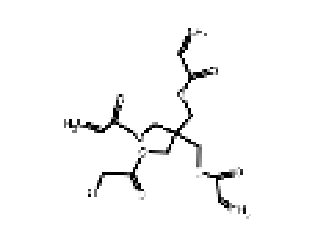 C=CC(=O)OCC(COC(=O)C=C)(COC(=O)C=C)COC(=O)CCl